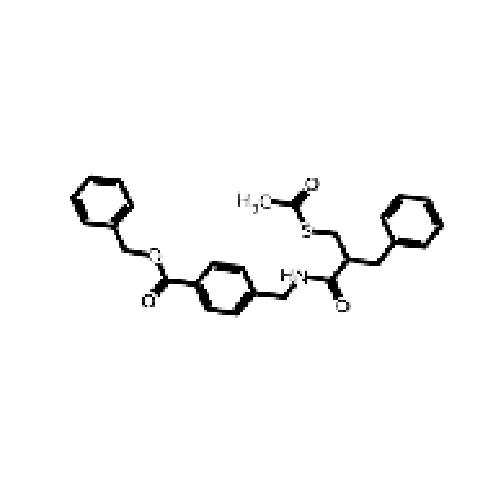 CC(=O)SCC(Cc1ccccc1)C(=O)NCc1ccc(C(=O)OCc2ccccc2)cc1